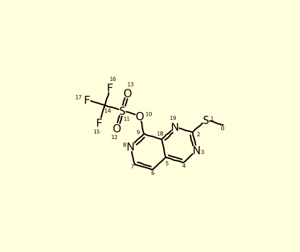 CSc1ncc2ccnc(OS(=O)(=O)C(F)(F)F)c2n1